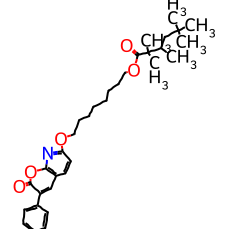 CC(CC(C)(C)C)C(C)(C)C(=O)OCCCCCCCCOc1ccc2cc(-c3ccccc3)c(=O)oc2n1